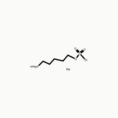 CCCCCCCCCCCCOS(=O)(=O)CC.[Na]